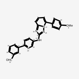 COc1ccc(-c2cccc3nc(Nc4ccc(-c5cccc(C=O)c5)nc4)nn23)cc1